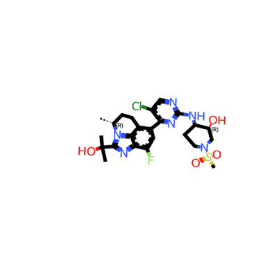 C[C@@H]1CCc2c(-c3nc(NC4CCN(S(C)(=O)=O)C[C@H]4O)ncc3Cl)cc(F)c3nc(C(C)(C)O)n1c23